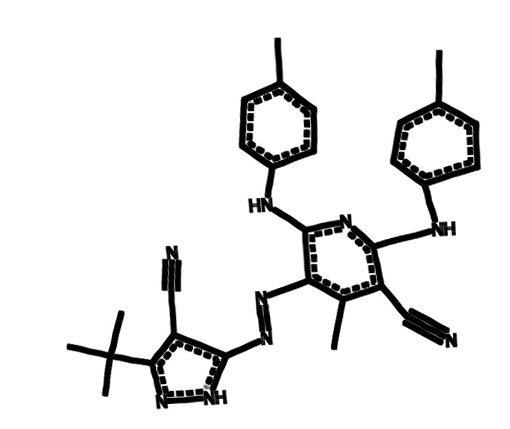 Cc1ccc(Nc2nc(Nc3ccc(C)cc3)c(N=Nc3[nH]nc(C(C)(C)C)c3C#N)c(C)c2C#N)cc1